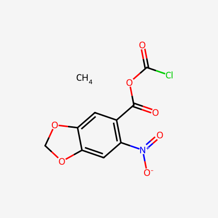 C.O=C(Cl)OC(=O)c1cc2c(cc1[N+](=O)[O-])OCO2